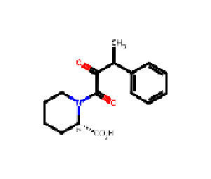 CC(C(=O)C(=O)N1CCCC[C@H]1C(=O)O)c1ccccc1